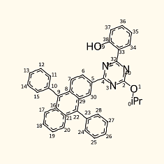 CC(C)Oc1nc(-c2ccc3c(-c4ccccc4)c4ccccc4c(-c4ccccc4)c3c2)nc(-c2ccccc2O)n1